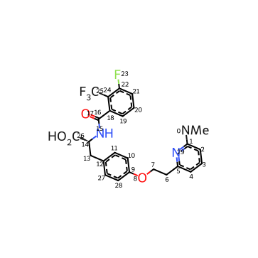 CNc1cccc(CCOc2ccc(C[C@H](NC(=O)c3cccc(F)c3C(F)(F)F)C(=O)O)cc2)n1